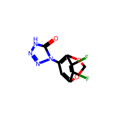 O=c1[nH]nnn1-c1cc2c(F)c(F)c1OCO2